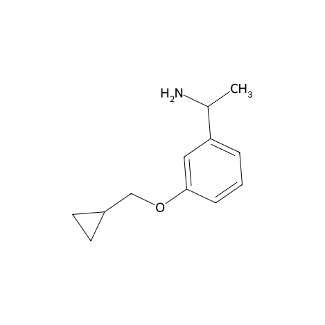 CC(N)c1cccc(OCC2CC2)c1